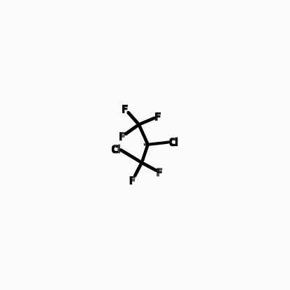 FC(F)(F)[C](Cl)C(F)(F)Cl